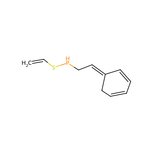 C=CSPC/C=C1/C=CC=CC1